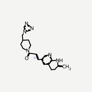 C=C1CCc2cc(/C=C/C(=O)N3CCC(Cn4cnnc4)CC3)cnc2N1